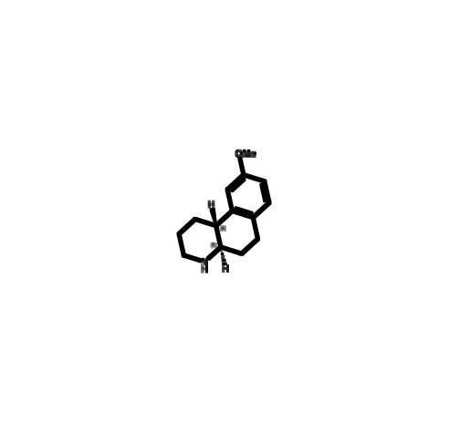 COc1ccc2c(c1)[C@H]1CCCN[C@@H]1CC2